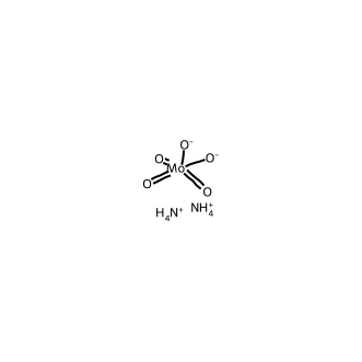 [NH4+].[NH4+].[O]=[Mo](=[O])(=[O])([O-])[O-]